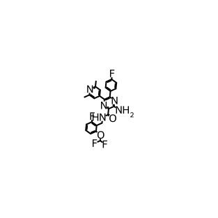 Cc1cc(-c2nc(C(=O)NCc3c(F)cccc3OC(F)F)c(N)nc2-c2ccc(F)cc2)cc(C)n1